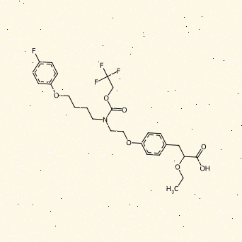 CCOC(Cc1ccc(OCCN(CCCCOc2ccc(F)cc2)C(=O)OCC(F)(F)F)cc1)C(=O)O